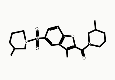 Cc1c(C(=O)N2CCCC(C)C2)oc2ccc(S(=O)(=O)N3CCCC(C)C3)cc12